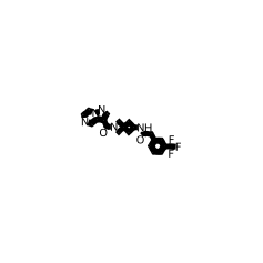 O=C(Cc1cccc(C(F)(F)F)c1)NC1CC2(C1)CN(C(=O)c1cnn3ccncc13)C2